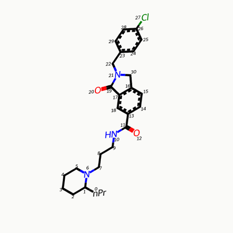 CCCC1CCCCN1CCCNC(=O)c1ccc2c(c1)C(=O)N(Cc1ccc(Cl)cc1)C2